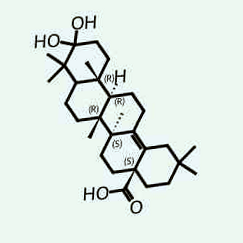 CC1(C)CC[C@]2(C(=O)O)CC[C@]3(C)C(=C2C1)CC[C@@H]1[C@@]2(C)CCC(O)(O)C(C)(C)C2CC[C@]13C